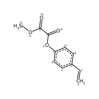 C=Cc1ccc(OC(=O)C(=O)O[SiH3])cc1